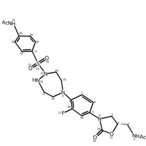 CC(=O)NC[C@H]1CN(c2ccc(N3CCNN(S(=O)(=O)c4ccc(NC(C)=O)cc4)CC3)c(F)c2)C(=O)O1